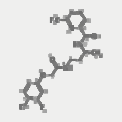 C=C(CCNC(=O)COc1ccc(Cl)c(F)c1)NC(=O)c1cccc(C(F)(F)F)n1